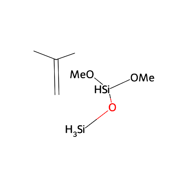 C=C(C)C.CO[SiH](OC)O[SiH3]